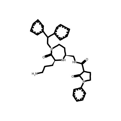 NCCC[C@@H]1N[C@H](CNC(=O)C2CCN(c3ccccc3)C2=O)CCN(CC(c2ccccc2)c2ccccc2)C1=O